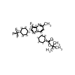 Cc1cc([C@H]2CCCN(C(=O)OC(C)(C)C)C2)n2nc([C@H]3CC[C@H](C(F)(F)F)CC3)c(F)c2n1